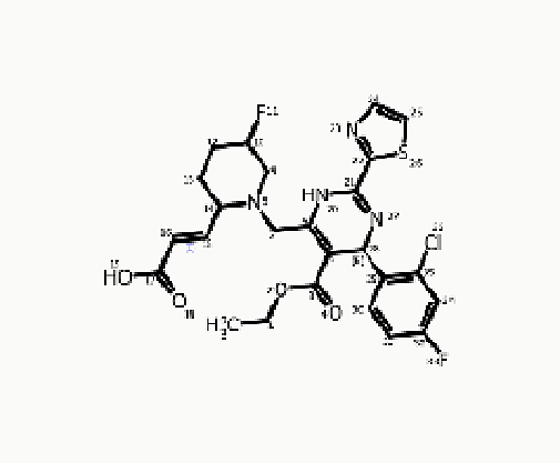 CCOC(=O)C1=C(CN2CC(F)CCC2/C=C/C(=O)O)NC(c2nccs2)=N[C@H]1c1ccc(F)cc1Cl